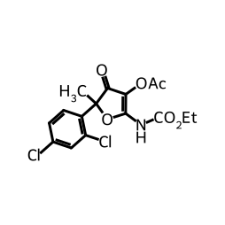 CCOC(=O)NC1=C(OC(C)=O)C(=O)C(C)(c2ccc(Cl)cc2Cl)O1